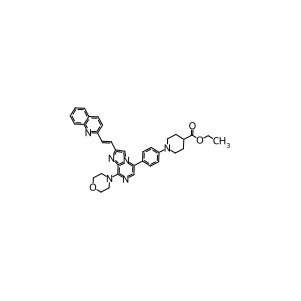 CCOC(=O)C1CCN(c2ccc(-c3cnc(N4CCOCC4)c4nc(/C=C/c5ccc6ccccc6n5)cn34)cc2)CC1